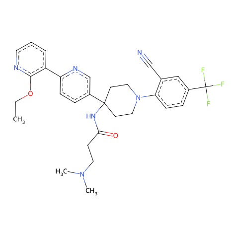 CCOc1ncccc1-c1ccc(C2(NC(=O)CCN(C)C)CCN(c3ccc(C(F)(F)F)cc3C#N)CC2)cn1